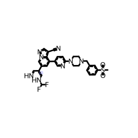 CS(=O)(=O)c1cccc(CN2CCN(c3ccc(-c4cc(/C(C=N)=C/NC(F)F)cn5ncc(C#N)c45)cn3)CC2)c1